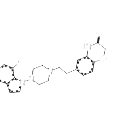 O=C1COc2ccc(CCN3CCN(n4ccc5cccc(Cl)c54)CC3)cc2N1